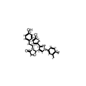 Cc1cc(-n2cc([C@H]3OCC(=O)N3CCc3ccc(O)cc3)c(-c3ccc(Cl)s3)n2)ccc1F